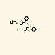 Cc1ccc(-n2nc(C(C)(C)C)cc2NC(=O)Nc2ccccc2CC2CCN(C(=O)C(=O)c3ccco3)CC2)cc1